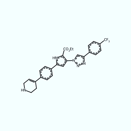 CCOC(=O)c1[nH]c(-c2ccc(C3=CCNCC3)cc2)cc1-n1cc(-c2ccc(C(F)(F)F)cc2)nn1